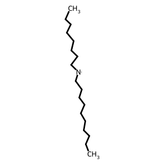 CCCCCCCCCC[N]CCCCCCCC